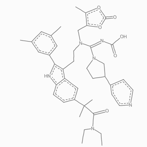 CCN(CC)C(=O)C(C)(C)c1ccc2[nH]c(-c3cc(C)cc(C)c3)c(CCN(Cc3oc(=O)oc3C)C(=NC(=O)O)N3CCC(c4ccncc4)C3)c2c1